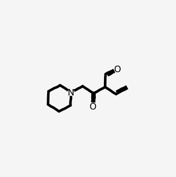 C=CC(C=O)C(=O)CN1CCCCC1